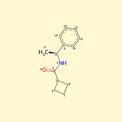 C[C@H](NC(=O)C1CCC1)c1ccccc1